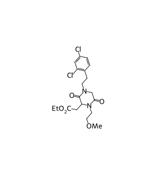 CCOC(=O)CC1C(=O)N(CCc2ccc(Cl)cc2Cl)CC(=O)N1CCOC